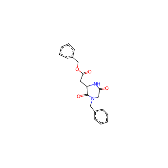 O=C1CN(Cc2ccccc2)C(=O)C(CC(=O)OCc2ccccc2)N1